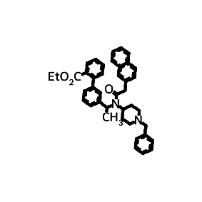 CCOC(=O)c1ccccc1-c1cccc(C(C)N(C(=O)Cc2ccc3ccccc3c2)C2CCN(Cc3ccccc3)CC2)c1